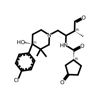 C[C@@H](C=O)C(CN1CC[C@](O)(c2ccc(Cl)cc2)C(C)(C)C1)NC(=O)[C@@H]1CCC(=O)C1